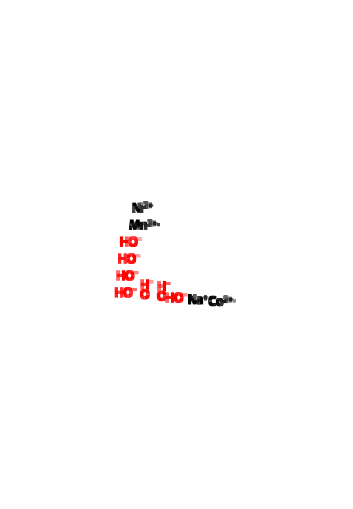 [Co+2].[Mn+2].[Na+].[Ni+2].[OH-].[OH-].[OH-].[OH-].[OH-].[OH-].[OH-]